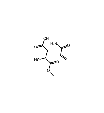 C=CC(N)=O.COC(=O)C(O)CC(=O)O